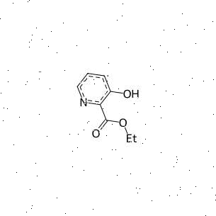 CCOC(=O)c1ncc[c]c1O